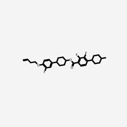 C=CCCOc1ccc(C2CCC(OC(=O)c3ccc(C4CCC(C)CC4)c(F)c3F)CC2)cc1F